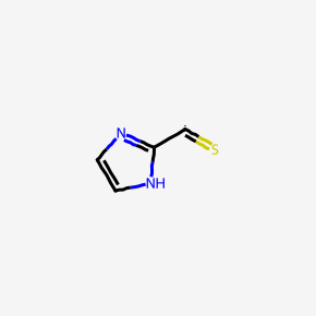 S=[C]c1ncc[nH]1